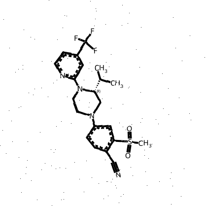 CC(C)[C@@H]1CN(c2ccc(C#N)c(S(C)(=O)=O)c2)CCN1c1cc(C(F)(F)F)ccn1